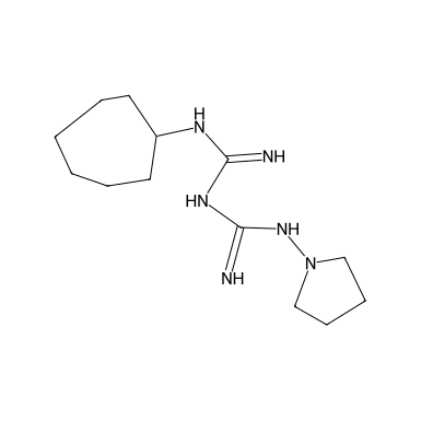 N=C(NC(=N)NN1CCCC1)NC1CCCCCC1